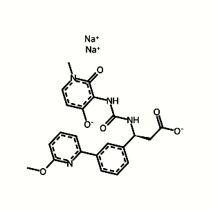 COc1cccc(-c2cccc([C@H](CC(=O)[O-])NC(=O)Nc3c([O-])ccn(C)c3=O)c2)n1.[Na+].[Na+]